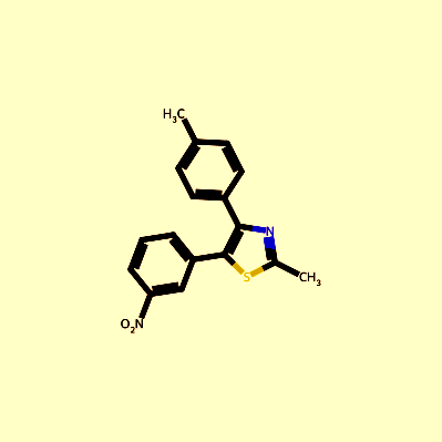 Cc1ccc(-c2nc(C)sc2-c2cccc([N+](=O)[O-])c2)cc1